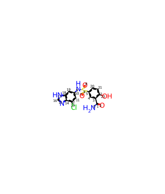 NC(=O)c1cc(S(=O)(=O)Nc2cc(Cl)c3nc[nH]c3c2)ccc1O